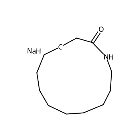 O=C1CCCCCCCCCCCN1.[NaH]